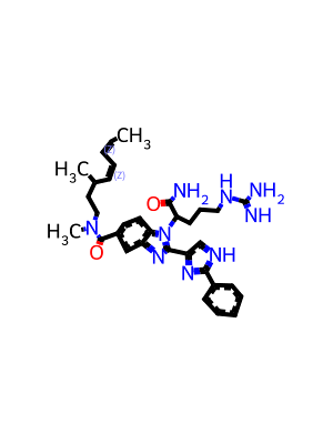 C/C=C\C=C/C(C)CCN(C)C(=O)c1ccc2c(c1)nc(-c1c[nH]c(-c3ccccc3)n1)n2C(CCCNC(=N)N)C(N)=O